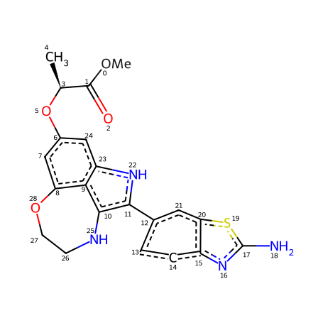 COC(=O)[C@H](C)Oc1cc2c3c(c(-c4ccc5nc(N)sc5c4)[nH]c3c1)NCCO2